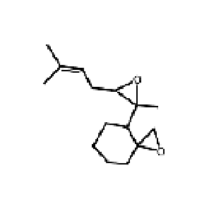 CC(C)=CCC1OC1(C)C1CCCCC12CO2